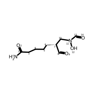 NC(=O)CCCC[C@@H]([C]=O)CN(O)C=O